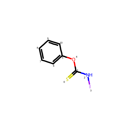 S=C(NI)Oc1ccccc1